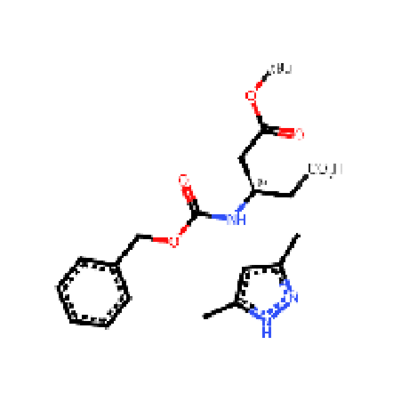 CC(C)(C)OC(=O)C[C@@H](CC(=O)O)NC(=O)OCc1ccccc1.Cc1cc(C)[nH]n1